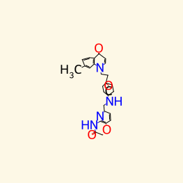 Cc1ccc2c(=O)ccn(CCC34CCC(NCc5ccc6c(n5)NC(=O)CO6)(CC3)CO4)c2c1